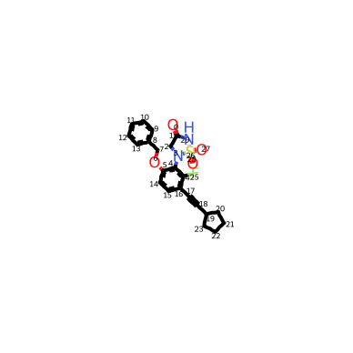 O=C1CN(c2c(OCc3ccccc3)ccc(C#CC3CCCC3)c2F)S(=O)(=O)N1